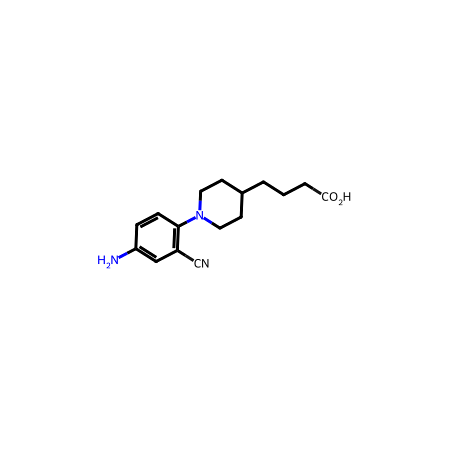 N#Cc1cc(N)ccc1N1CCC(CCCC(=O)O)CC1